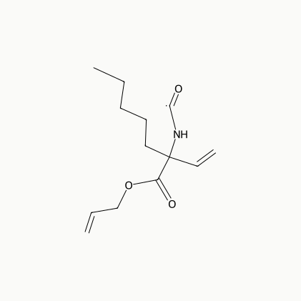 C=CCOC(=O)C(C=C)(CCCCC)N[C]=O